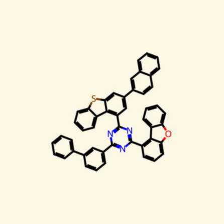 c1ccc(-c2cccc(-c3nc(-c4cccc5oc6ccccc6c45)nc(-c4cc(-c5ccc6ccccc6c5)cc5sc6ccccc6c45)n3)c2)cc1